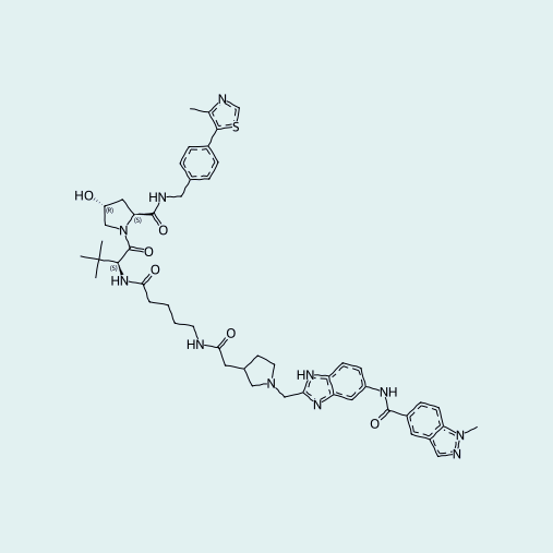 Cc1ncsc1-c1ccc(CNC(=O)[C@@H]2C[C@@H](O)CN2C(=O)[C@@H](NC(=O)CCCCNC(=O)CC2CCN(Cc3nc4cc(NC(=O)c5ccc6c(cnn6C)c5)ccc4[nH]3)C2)C(C)(C)C)cc1